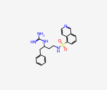 N=C(N)NC(CCNS(=O)(=O)c1cccc2cnccc12)Cc1ccccc1